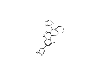 Cc1cc(-c2cn[nH]c2)cc(=O)n1C(CC1CCCCC1)C(=O)Nc1nccs1